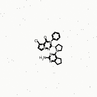 Nc1nc2c(c(N3CCC[C@H]3c3nn4ccc(Cl)c4c(=O)n3-c3ccccc3)n1)CCC2